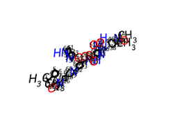 CC(C)c1ccccc1[C@H]1COCCN1C1CC2(CCN(c3ccc(C(=O)NS(=O)(=O)c4cnc(NC[C@H]5CC[C@H](N=S(C)(C)=O)CC5)c([N+](=O)[O-])c4)c(Oc4cnc5[nH]ccc5c4)c3)CC2)C1